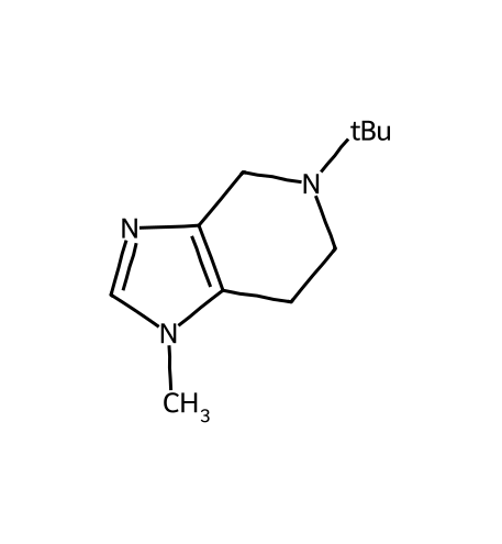 Cn1cnc2c1CCN(C(C)(C)C)C2